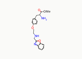 COC(=O)C(N)Cc1ccc(OCCNCc2nc3ccccc3o2)cc1